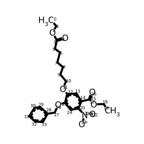 CCOC(=O)CCCCCCOc1cc(C(=O)OCC)c([N+](=O)[O-])cc1OCc1ccccc1